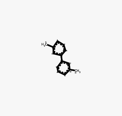 Cc1[c]ccc(-c2cccc(C)c2)c1